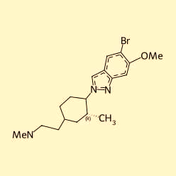 CNCCC1CCC(n2cc3cc(Br)c(OC)cc3n2)[C@H](C)C1